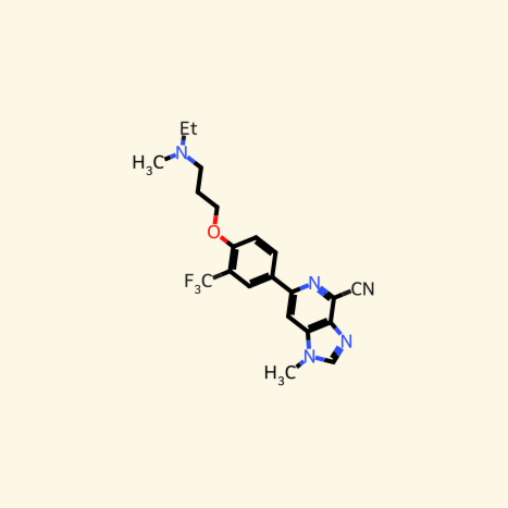 CCN(C)CCCOc1ccc(-c2cc3c(ncn3C)c(C#N)n2)cc1C(F)(F)F